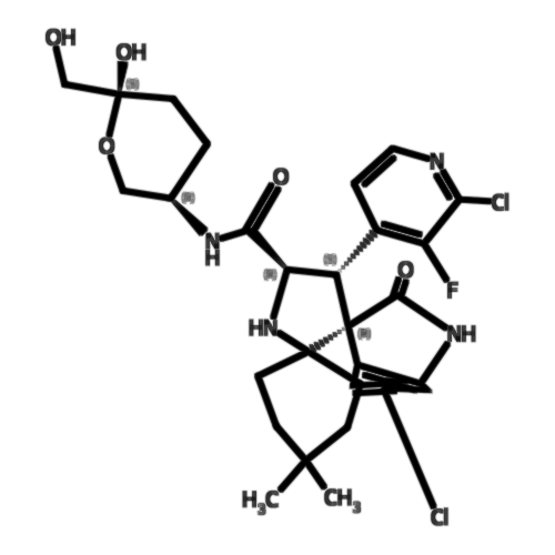 CC1(C)CCC2(CC1)N[C@@H](C(=O)N[C@@H]1CC[C@@](O)(CO)OC1)[C@H](c1ccnc(Cl)c1F)[C@]21C(=O)Nc2cc(Cl)ccc21